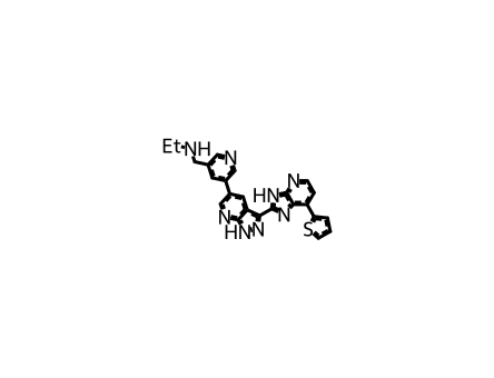 CCNCc1cncc(-c2cnc3[nH]nc(-c4nc5c(-c6cccs6)ccnc5[nH]4)c3c2)c1